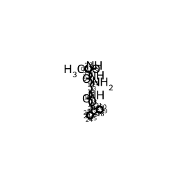 Cc1c[nH]c(=O)c(NC(=O)C(N)CCCNC(=O)OCC2c3ccccc3-c3ccccc32)c1